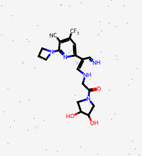 N#Cc1c(C(F)(F)F)cc(/C(C=N)=C/NCC(=O)N2CC(O)C(O)C2)nc1N1CCC1